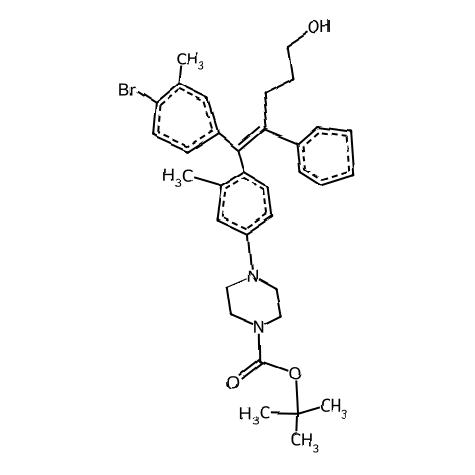 Cc1cc(/C(=C(\CCCO)c2ccccc2)c2ccc(N3CCN(C(=O)OC(C)(C)C)CC3)cc2C)ccc1Br